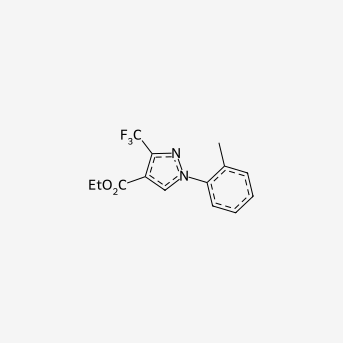 CCOC(=O)c1cn(-c2ccccc2C)nc1C(F)(F)F